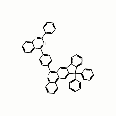 c1ccc(-c2nc(-c3ccc(-c4nc5ccccc5c5cc6c(cc45)-c4ccccc4C6(c4ccccc4)c4ccccc4)cc3)c3ccccc3n2)cc1